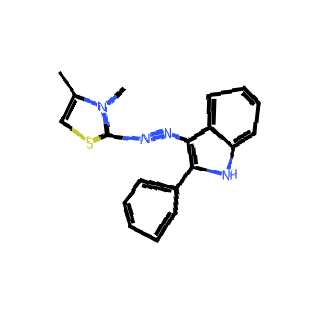 CC1=CSC(N=Nc2c(-c3ccccc3)[nH]c3ccccc23)N1C